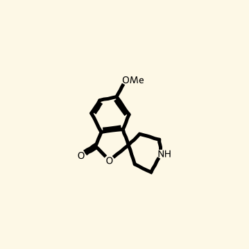 COc1ccc2c(c1)C1(CCNCC1)OC2=O